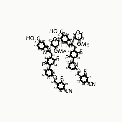 CO[C@H]1CCOC[C@H]1n1c(Cc2cc(F)c(-c3cccc(OCc4ccc(C#N)cc4F)n3)cc2F)nc2ccc(C(=O)O)cc21.CO[C@H]1CCOC[C@H]1n1c(Cc2cc(F)c(-c3cccc(OCc4ccc(C#N)cc4F)n3)cc2F)nc2ccc(C(=O)O)cc21